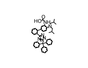 CC(C)CN(CC(C)C)c1ccc(-c2ccccc2-c2nnn(C(c3ccccc3)(c3ccccc3)c3ccccc3)n2)cc1NC(=O)O